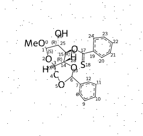 CO[C@H]1O[C@@H]2COC(c3ccccc3)O[C@H]2[C@H](OC(=S)c2ccccc2)[C@H]1O